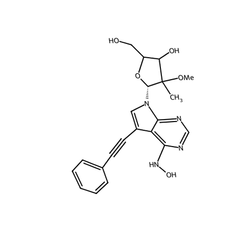 COC1(C)C(O)C(CO)O[C@H]1n1cc(C#Cc2ccccc2)c2c(NO)ncnc21